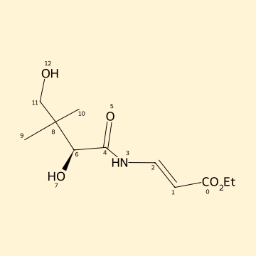 CCOC(=O)/C=C/NC(=O)[C@@H](O)C(C)(C)CO